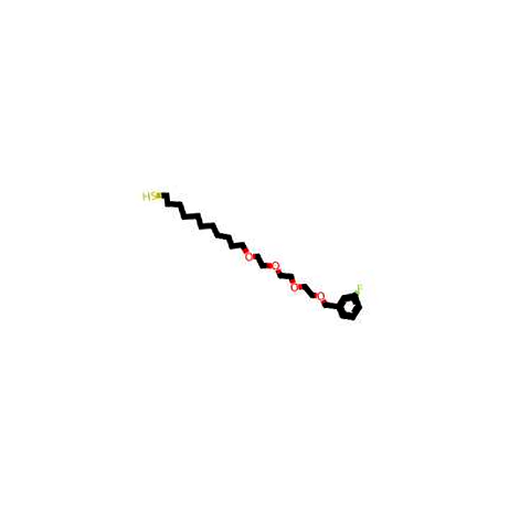 Fc1cc[c]c(COCCOCCOCCOCCCCCCCCCCCS)c1